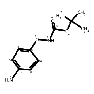 CC(C)(C)OC(=O)NOc1ccc(N)cc1